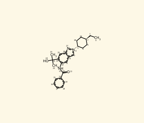 CC[C@H]1CC[C@H](n2cc3cc(NC(=O)c4ccccc4)c(C(C)(C)O)cc3n2)CC1